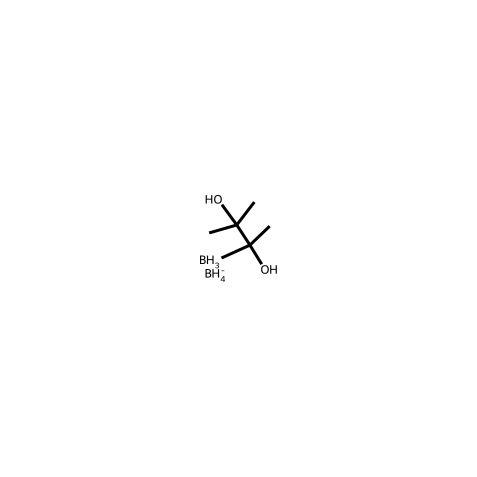 B.CC(C)(O)C(C)(C)O.[BH4-]